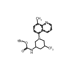 Cc1ccc(N2CC(NC(=O)OC(C)(C)C)CC(C(F)(F)F)C2)c2cccnc12